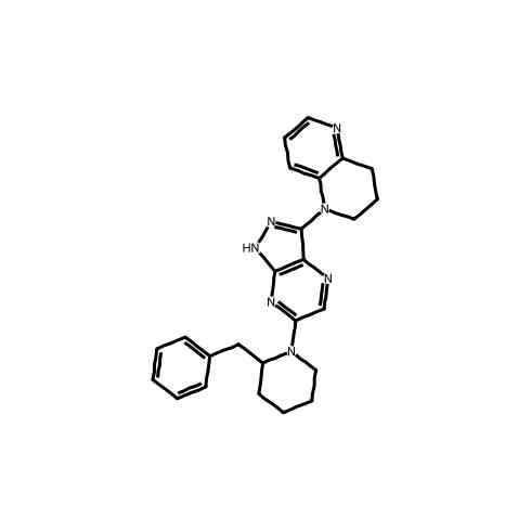 c1ccc(CC2CCCCN2c2cnc3c(N4CCCc5ncccc54)n[nH]c3n2)cc1